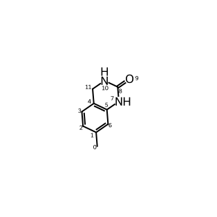 Cc1ccc2c(c1)NC(=O)NC2